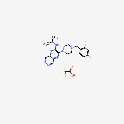 CC(C)Nc1nc2cnncc2nc1N1CCN(Cc2ccc(F)cc2F)CC1.O=C(O)C(F)(F)F